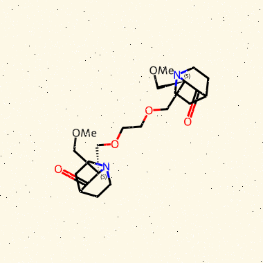 COC[C@]1(COCCOC[C@@]2(COC)C(=O)C3CCN2CC3)C(=O)C2CCN1CC2